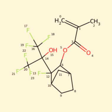 C=C(C)C(=O)OC1C2CCC(C2)C1(F)C(O)(C(F)(F)F)C(F)(F)F